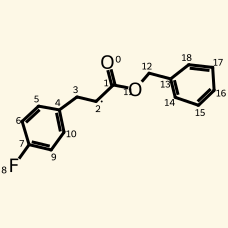 O=C([CH]Cc1ccc(F)cc1)OCc1ccccc1